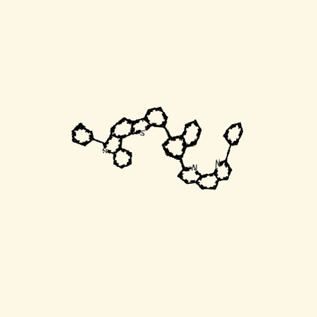 c1ccc(-c2ccc3ccc4ccc(-c5ccc(-c6cccc7c6sc6c7ccc7c(-c8ccccc8)nc8ccccc8c76)c6ccccc56)nc4c3n2)cc1